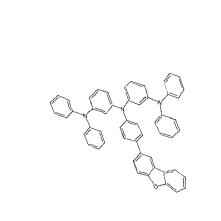 c1ccc(N(c2ccccc2)c2cccc(N(c3ccc(-c4ccc5oc6ccccc6c5c4)cc3)c3cccc(N(c4ccccc4)c4ccccc4)c3)c2)cc1